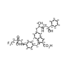 CC(Cc1ccc2c(c1)cc(C(=O)O)n2Cc1ccc(NCS(=O)(=O)CC(F)(F)F)cc1)NCC(O)c1ccccc1